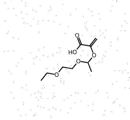 C=C(OC(C)OCCOCC)C(=O)O